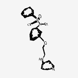 CCN(c1cccc(OCCNc2ccncc2)c1)S(=O)(=O)c1ccccc1